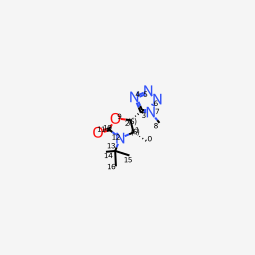 C[C@H]1[C@@H](c2nnnn2C)OC(=O)N1C(C)(C)C